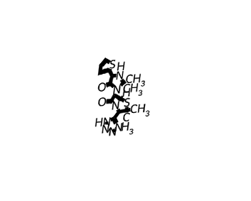 CC1(C)S[C@H]2C(N3C(=O)C(c4cccs4)NC3(C)C)C(=O)N2C1c1nnn[nH]1